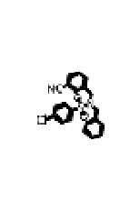 N#Cc1cccc(CN(Cc2ccccc2)S(=O)(=O)c2ccc(Cl)cc2)c1